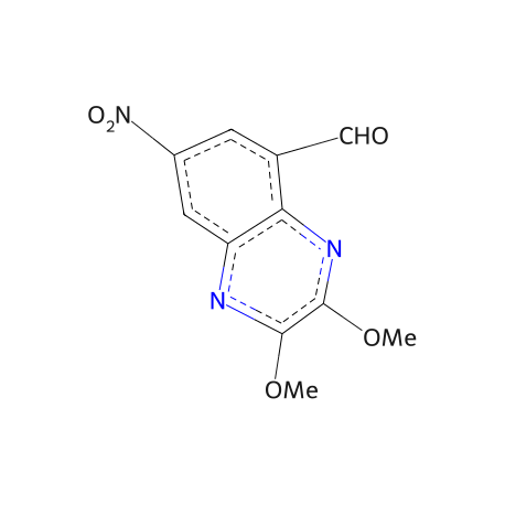 COc1nc2cc([N+](=O)[O-])cc(C=O)c2nc1OC